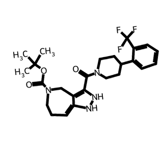 CC(C)(C)OC(=O)N1CCC=C2NNC(C(=O)N3CCC(c4ccccc4C(F)(F)F)CC3)=C2C1